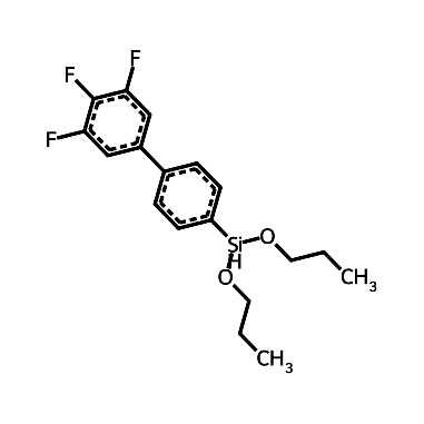 CCCO[SiH](OCCC)c1ccc(-c2cc(F)c(F)c(F)c2)cc1